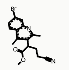 COC(=O)C(CCC#N)c1c(C)nc2cc(Br)ccc2c1C